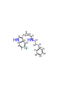 Fc1ccc2[nH]cc([C@@H]3C[C@H]3CNCCCc3ccccc3)c2c1